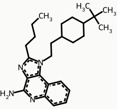 CCCCc1nc2c(N)nc3ccccc3c2n1CCC1CCC(C(C)(C)C)CC1